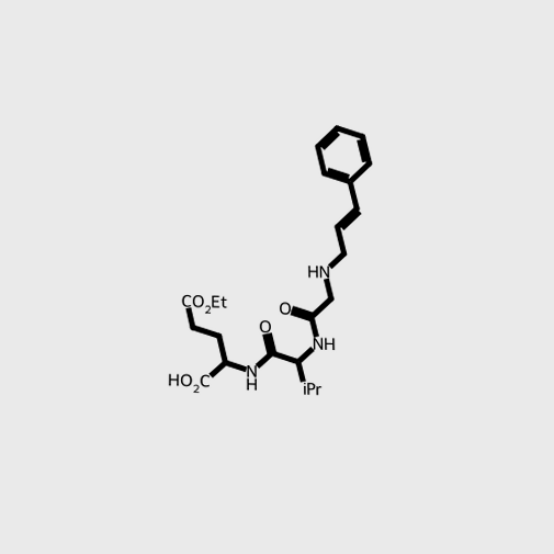 CCOC(=O)CCC(NC(=O)C(NC(=O)CNCC=Cc1ccccc1)C(C)C)C(=O)O